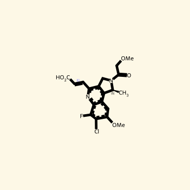 COCC(=O)N1Cc2c(/C=C/C(=O)O)nc3c(F)c(Cl)c(OC)cc3c2[C@@H]1C